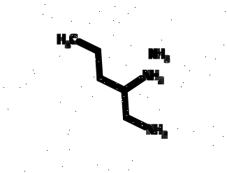 CCCC(N)CN.N